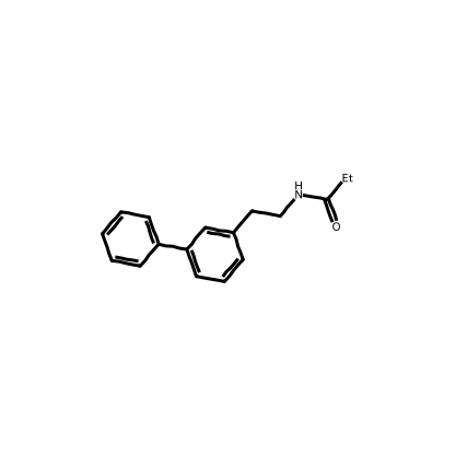 CCC(=O)NCCc1cccc(-c2ccccc2)c1